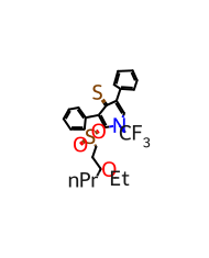 CCCC(CCS(=O)(=O)c1ccccc1-c1cn(C(F)(F)F)cc(-c2ccccc2)c1=S)OCC